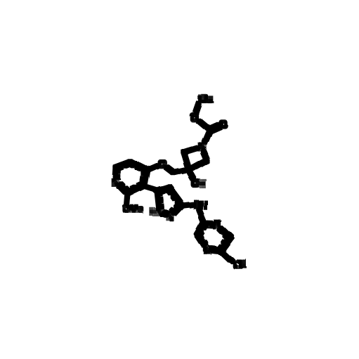 COc1nccc(OCC2(O)CN(C(=O)OC(C)(C)C)C2)c1-c1cc(Nc2cnc(C#N)cn2)n[nH]1